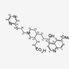 COc1ccc2nccc([C@@H](O)CCC3CCN(CCSc4cnccn4)CC3CCC(=O)O)c2c1